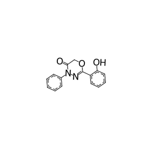 O=C1COC(c2ccccc2O)=NN1c1ccccc1